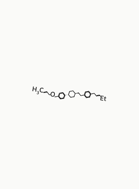 C/C=C/COCc1ccc([C@H]2CC[C@H](CCc3ccc(C/C=C/CC)cc3)CC2)cc1